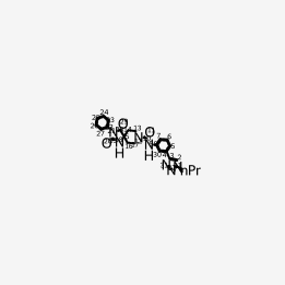 CCCn1cc(-c2cccc(NC(=O)N3CCC4(CC3)NC(=O)N(c3ccccc3)C4=O)c2)nn1